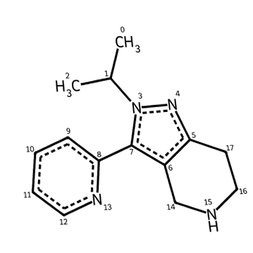 CC(C)n1nc2c(c1-c1ccccn1)CNCC2